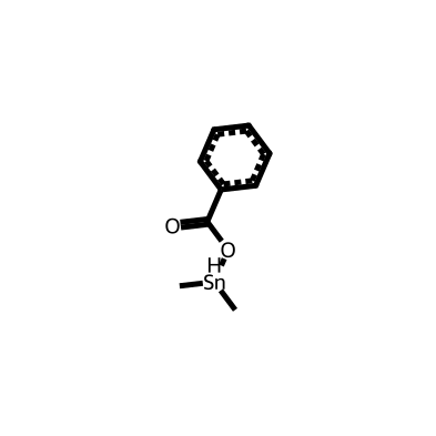 [CH3][SnH]([CH3])[O]C(=O)c1ccccc1